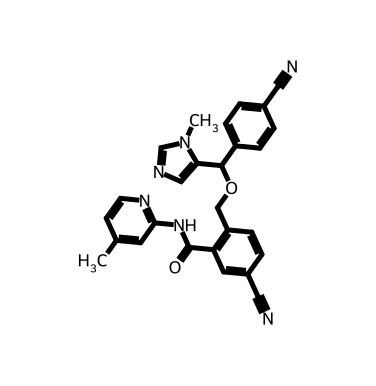 Cc1ccnc(NC(=O)c2cc(C#N)ccc2COC(c2ccc(C#N)cc2)c2cncn2C)c1